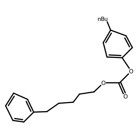 CCCCc1ccc(OC(=O)OCCCCCc2ccccc2)cc1